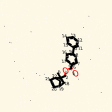 CC1(COC(=O)c2ccc(-c3ccccc3)cc2)CC2C=CC1C2